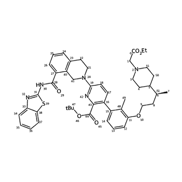 CCOC(=O)CN1CCC([C@@H](C)CCOc2cccc(-c3ccc(N4CCc5cccc(C(=O)Nc6nc7ccccc7s6)c5C4)nc3C(=O)OC(C)(C)C)c2C)CC1